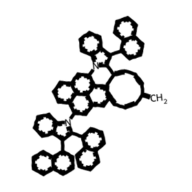 C=C1/C=C\C=C/C/C(c2c(-c3cccc4ccccc34)c3ccccc3n2-c2cc3cccc4c(-n5c(-c6cccc7ccccc67)c(-c6cccc7ccccc67)c6ccccc65)cc5cccc2c5c34)=C\C=C/1